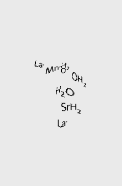 O.O.O.[La].[La].[Mn].[SrH2]